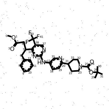 COC(=O)CC(Cc1ccccc1)c1nc(Nc2ccc(C3CCN(C(=O)OC(C)(C)C)CC3)nc2)ncc1C(F)(F)F